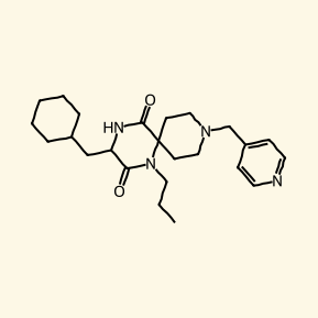 CCCN1C(=O)C(CC2CCCCC2)NC(=O)C12CCN(Cc1ccncc1)CC2